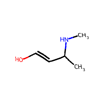 CNC(C)/C=C/O